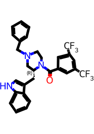 O=C(c1cc(C(F)(F)F)cc(C(F)(F)F)c1)N1CCN(Cc2ccccc2)C[C@H]1Cc1c[nH]c2ccccc12